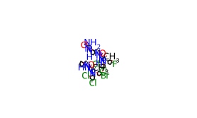 C[C@@H]1C(C(=O)NN2CCc3ccccc32)=NN(c2ccc(Cl)cc2Cl)[C@@H]1c1ccc(F)cc1.C[C@@H]1C(C(=O)NN2CCc3ccccc32)=NN(c2ccc(Cl)cc2Cl)[C@H]1c1ccc(Br)cc1.NC(=O)C1=NNCC1